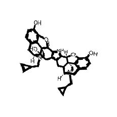 Oc1ccc2c3c1O[C@@H]1c4[nH]c5c(c4CC4[C@H](C2)N(CC2CC2)CC[C@]341)C[C@]1(O)[C@@H]2Cc3ccc(O)c4c3[C@]1(CCN2CC1CC1)[C@@H]5O4